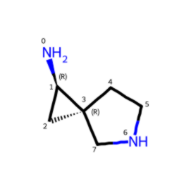 N[C@@H]1C[C@@]12CCNC2